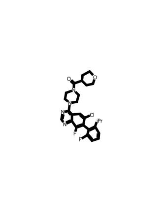 CC(C)c1cccc(F)c1-c1c(Cl)cc2c(N3CCN(C(=O)C4CCOCC4)CC3)ncnc2c1F